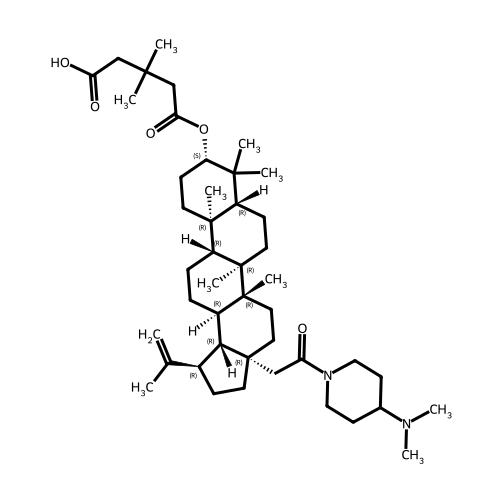 C=C(C)[C@@H]1CC[C@]2(CC(=O)N3CCC(N(C)C)CC3)CC[C@]3(C)[C@H](CC[C@@H]4[C@@]5(C)CC[C@H](OC(=O)CC(C)(C)CC(=O)O)C(C)(C)[C@@H]5CC[C@]43C)[C@@H]12